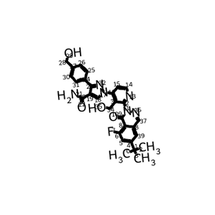 CC(C)(C)c1cc(F)c2c(=O)n(-c3nccc(-n4cc(C(N)=O)c(-c5ccc(CO)cc5)n4)c3CO)ncc2c1